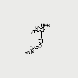 CCCCOC(=O)N1CC(Oc2ccc(C#Cc3cnc(NC)c4cnc(N)cc34)cc2)C1